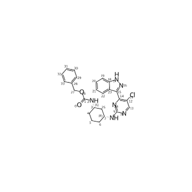 O=C(N[C@H]1CCC[C@@H](Nc2ncc(Cl)c(-c3n[nH]c4ccccc34)n2)C1)OCc1ccccc1